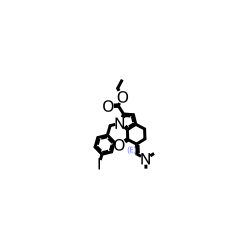 CCOC(=O)c1cc2c(n1Cc1ccc(I)cc1)C(=O)/C(=C/N(C)C)CC2